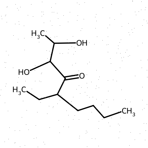 CCCCC(CC)C(=O)C(O)C(C)O